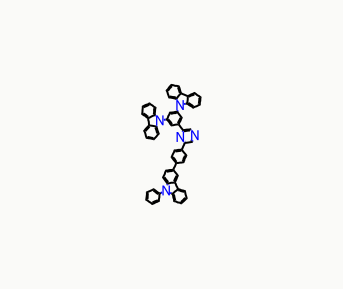 c1ccc(-n2c3ccccc3c3cc(-c4ccc(-c5cncc(-c6cc(-n7c8ccccc8c8ccccc87)cc(-n7c8ccccc8c8ccccc87)c6)n5)cc4)ccc32)cc1